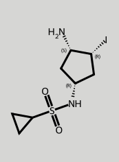 N[C@H]1C[C@@H](NS(=O)(=O)C2CC2)C[C@H]1I